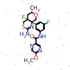 COc1cnc(C(=O)Nc2cc(F)cc([C@]34CO[C@@H](C)C[C@@]3(F)CSC(N)=N4)c2)cn1